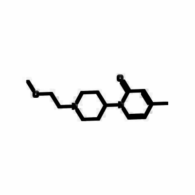 COCCN1CCC(n2ccc(C)cc2=O)CC1